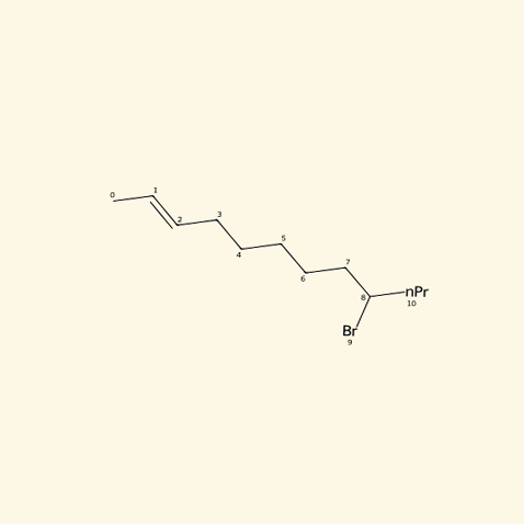 CC=CCCCCCC(Br)CCC